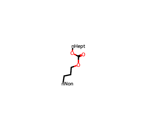 CCCCCCCCCCCCOC(=O)OCCCCCCC